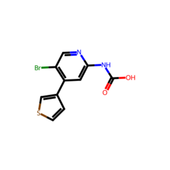 O=C(O)Nc1cc(-c2ccsc2)c(Br)cn1